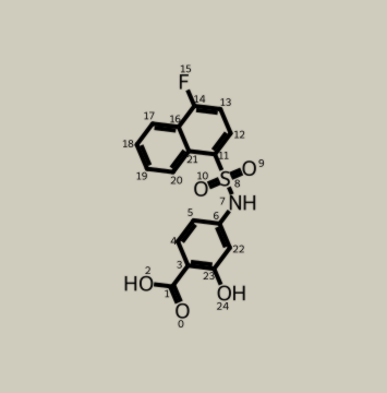 O=C(O)c1ccc(NS(=O)(=O)c2ccc(F)c3ccccc23)cc1O